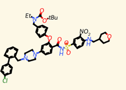 CCN(Cc1ccc(Oc2cc(N3CCN(Cc4ccccc4-c4ccc(Cl)cc4)CC3)ccc2C(=O)NS(=O)(=O)c2ccc(NCC3CCOCC3)c([N+](=O)[O-])c2)cc1)C(=O)OC(C)(C)C